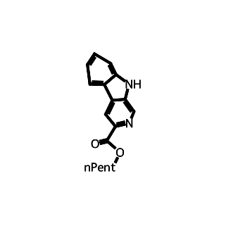 CCCCCOC(=O)c1cc2c(cn1)[nH]c1ccccc12